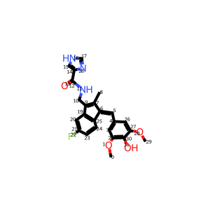 COc1cc(/C=C2/C(C)=C(CNC(=O)c3c[nH]cn3)c3cc(F)ccc32)cc(OC)c1O